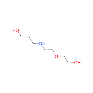 OCCCNCCOCCO